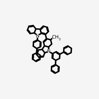 CC1CC2C(C=C1c1cccc3c1N(C1=CCC(C4C=CC=CC4)C=C1)C1C=CC=CC31)C1C=CC=CC1N2C1=CC(c2ccccc2)CC(C2=CCCC=C2)=C1